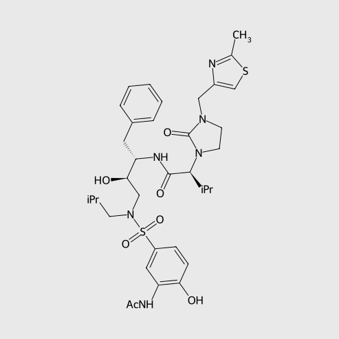 CC(=O)Nc1cc(S(=O)(=O)N(CC(C)C)C[C@@H](O)[C@H](Cc2ccccc2)NC(=O)[C@H](C(C)C)N2CCN(Cc3csc(C)n3)C2=O)ccc1O